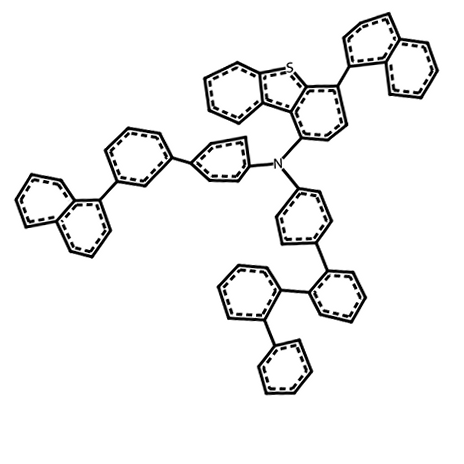 c1ccc(-c2ccccc2-c2ccccc2-c2ccc(N(c3ccc(-c4cccc(-c5cccc6ccccc56)c4)cc3)c3ccc(-c4cccc5ccccc45)c4sc5ccccc5c34)cc2)cc1